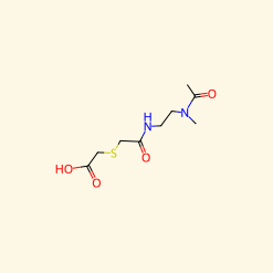 CC(=O)N(C)CCNC(=O)CSCC(=O)O